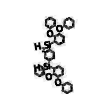 c1ccc(Oc2cccc([SiH2]c3ccc([SiH2]c4cccc(Oc5ccccc5)c4Oc4ccccc4)cc3)c2Oc2ccccc2)cc1